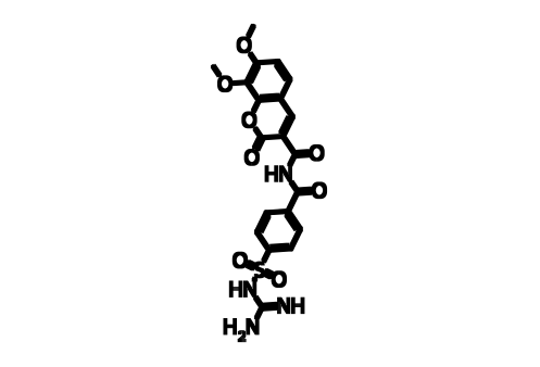 COc1ccc2cc(C(=O)NC(=O)c3ccc(S(=O)(=O)NC(=N)N)cc3)c(=O)oc2c1OC